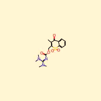 CC1=C(COC(=O)N=C(N(C)C)N(C)C)S(=O)(=O)c2ccccc2C1=O